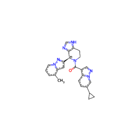 Cc1cccn2nc([C@H]3c4nc[nH]c4CCN3C(=O)c3cnn4cc(C5CC5)ccc34)cc12